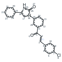 O=C(/C=C/c1ccc(Cl)cc1)c1cccc(-n2cc(-c3ccccc3)[nH]c2=O)c1